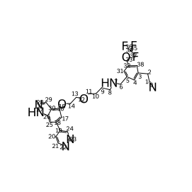 N#CCc1cc(CNCCCCOCCOc2cc(-c3ccnnc3)cc3[nH]ncc23)cc(OC(F)(F)F)c1